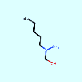 CCCCCCCCN(N)CO